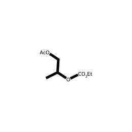 CCOC(=O)OC(C)COC(C)=O